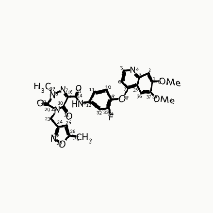 COc1cc2nccc(Oc3ccc(NC(=O)c4nn(C)c(=O)n(Cc5cc(C)on5)c4=O)cc3F)c2cc1OC